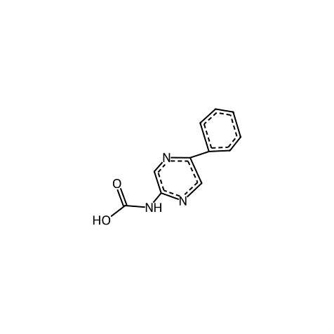 O=C(O)Nc1cnc(-c2ccccc2)cn1